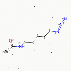 CCCCC(=O)NCCCCCN=[N+]=[N-]